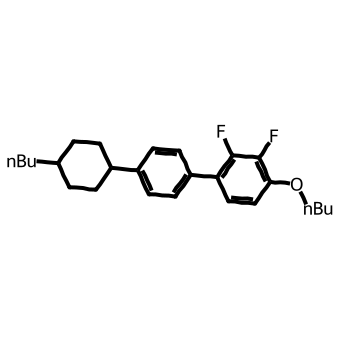 CCCCOc1ccc(-c2ccc(C3CCC(CCCC)CC3)cc2)c(F)c1F